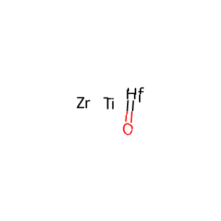 [O]=[Hf].[Ti].[Zr]